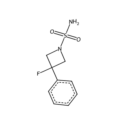 NS(=O)(=O)N1CC(F)(c2ccccc2)C1